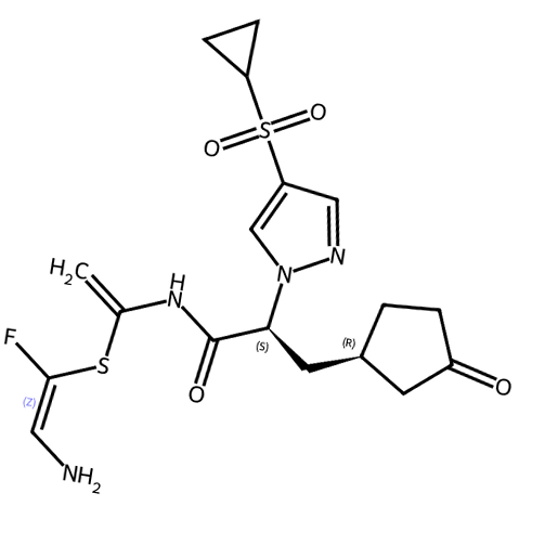 C=C(NC(=O)[C@H](C[C@H]1CCC(=O)C1)n1cc(S(=O)(=O)C2CC2)cn1)S/C(F)=C\N